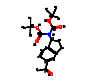 CC(=O)c1ccc2c(c1)CCC2N(C(=O)OC(C)(C)C)C(=O)OC(C)(C)C